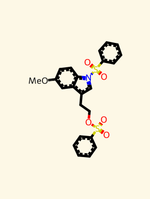 COc1ccc2c(c1)c(CCOS(=O)(=O)c1ccccc1)cn2S(=O)(=O)c1ccccc1